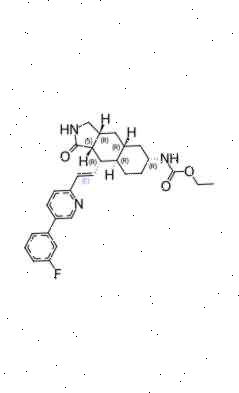 CCOC(=O)N[C@@H]1CC[C@@H]2[C@@H](C1)C[C@H]1CNC(=O)[C@H]1[C@H]2/C=C/c1ccc(-c2cccc(F)c2)cn1